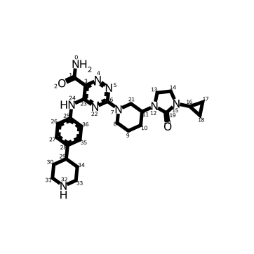 NC(=O)c1nnc(N2CCCC(N3CCN(C4CC4)C3=O)C2)nc1Nc1ccc(C2CCNCC2)cc1